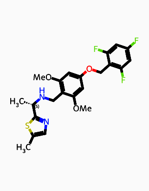 COc1cc(OCc2c(F)cc(F)cc2F)cc(OC)c1CN[C@@H](C)c1ncc(C)s1